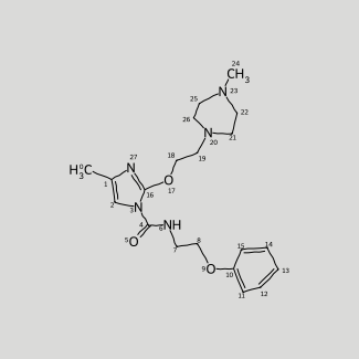 Cc1cn(C(=O)NCCOc2ccccc2)c(OCCN2CCN(C)CC2)n1